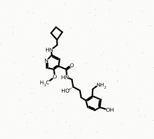 COc1cnc(NCC2CCC2)cc1C(=O)NC[C@@H](O)CCc1ccc(O)cc1CN